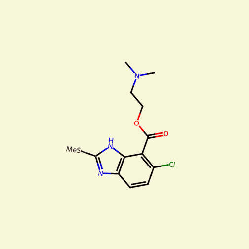 CSc1nc2ccc(Cl)c(C(=O)OCCN(C)C)c2[nH]1